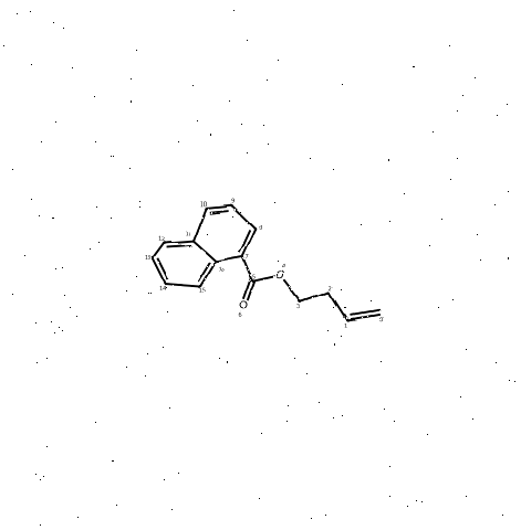 C=CCCOC(=O)c1cccc2ccccc12